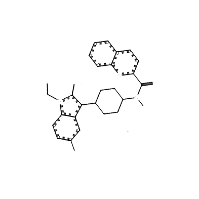 Cc1c(C2CCC(N(C)C(=O)c3ccc4ccccc4n3)CC2)c2cc(F)ccc2n1CC(=O)O.Cl